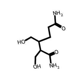 NC(=O)CCC(CO)C(CO)C(N)=O